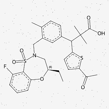 CC[C@@H]1CN(Cc2cc(C(c3ccc(C(C)=O)s3)C(C)(C)C(=O)O)ccc2C)S(=O)(=O)c2c(F)cccc2O1